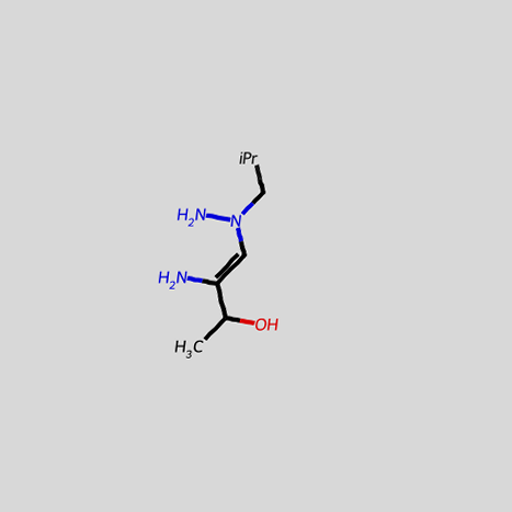 CC(C)CN(N)/C=C(\N)C(C)O